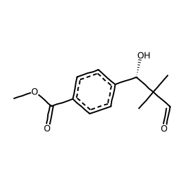 COC(=O)c1ccc([C@H](O)C(C)(C)C=O)cc1